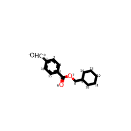 O=[C]c1ccc(C(=O)OCC2CC[CH]CC2)cc1